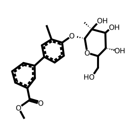 COC(=O)c1cccc(-c2ccc(O[C@H]3OC(CO)[C@@H](O)C(O)[C@]3(C)O)c(C)c2)c1